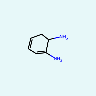 NC1=CC=CCC1N